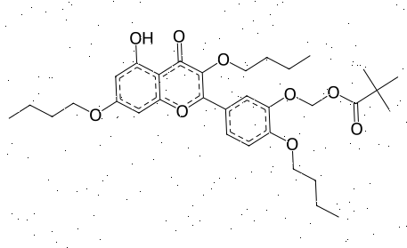 CCCCOc1cc(O)c2c(=O)c(OCCCC)c(-c3ccc(OCCCC)c(OCOC(=O)C(C)(C)C)c3)oc2c1